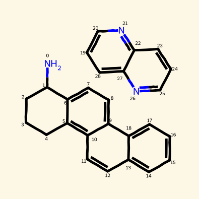 NC1CCCc2c1ccc1c2ccc2ccccc21.c1cnc2cccnc2c1